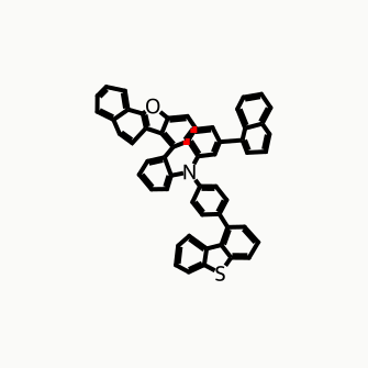 c1cc(-c2cccc3ccccc23)cc(N(c2ccc(-c3cccc4sc5ccccc5c34)cc2)c2ccccc2-c2cccc3oc4c5ccccc5ccc4c23)c1